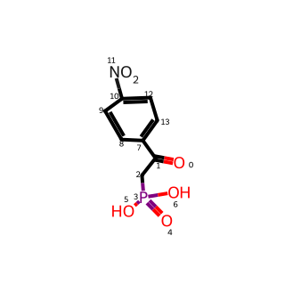 O=C(CP(=O)(O)O)c1ccc([N+](=O)[O-])cc1